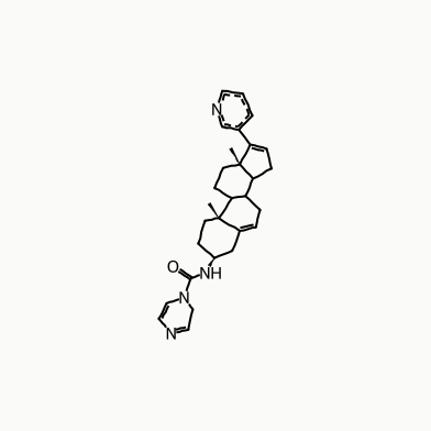 C[C@]12CC[C@H](NC(=O)N3C=CN=CC3)CC1=CCC1C2CC[C@]2(C)C(c3cccnc3)=CCC12